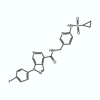 O=C(NCc1ccc(NS(=O)(=O)C2CC2)nc1)c1cncc2c1cnn2-c1ccc(F)cc1